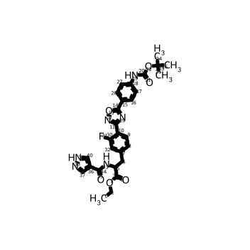 CCOC(=O)C(Cc1ccc(-c2noc(-c3ccc(NC(=O)OC(C)(C)C)cc3)n2)c(F)c1)NC(=O)c1cn[nH]c1